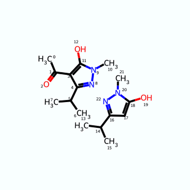 CC(=O)c1c(C(C)C)nn(C)c1O.CC(C)c1cc(O)n(C)n1